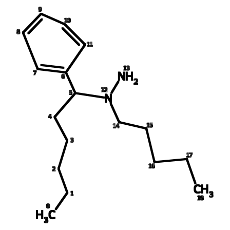 CCCCCC(c1ccccc1)N(N)CCCCC